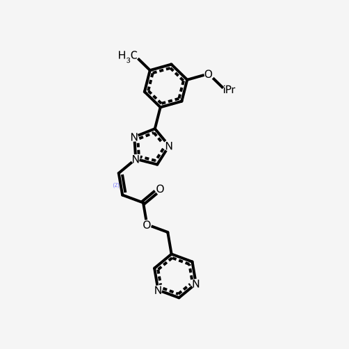 Cc1cc(OC(C)C)cc(-c2ncn(/C=C\C(=O)OCc3cncnc3)n2)c1